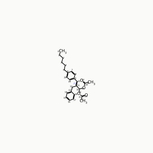 CCCCCCc1ccc(/C=C(\Cc2ccccc2)C(OC(C)=O)OC(C)=O)cc1